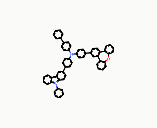 c1ccc(-c2ccc(N(c3ccc(-c4ccc5c(c4)-c4ccccc4Oc4ccccc4-5)cc3)c3ccc(-c4ccc5c(c4)c4ccccc4n5-c4ccccc4)cc3)cc2)cc1